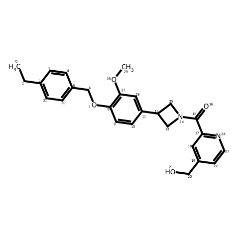 CCc1ccc(COc2ccc(C3CN(C(=O)c4cc(CO)ccn4)C3)cc2OC)cc1